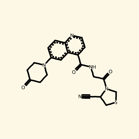 N#CC1CSCN1C(=O)CNC(=O)c1ccnc2ccc(N3CCC(=O)CC3)cc12